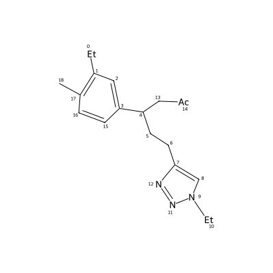 CCc1cc(C(CCc2cn(CC)nn2)CC(C)=O)ccc1C